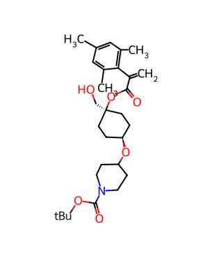 C=C(C(=O)O[C@]1(CO)CC[C@H](OC2CCN(C(=O)OC(C)(C)C)CC2)CC1)c1c(C)cc(C)cc1C